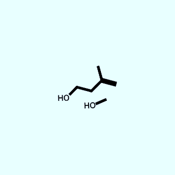 C=C(C)CCO.CO